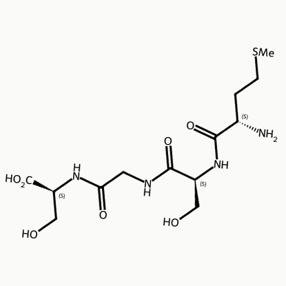 CSCC[C@H](N)C(=O)N[C@@H](CO)C(=O)NCC(=O)N[C@@H](CO)C(=O)O